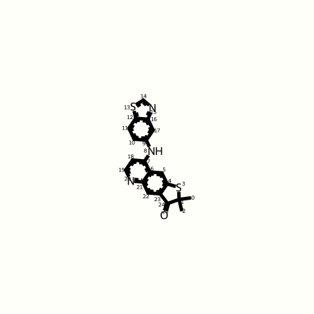 CC1(C)Sc2cc3c(Nc4ccc5scnc5c4)ccnc3cc2C1=O